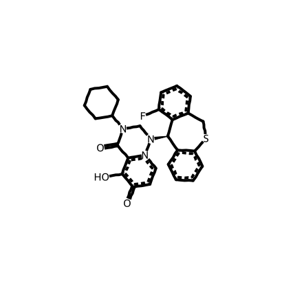 O=C1c2c(O)c(=O)ccn2N([C@@H]2c3ccccc3SCc3cccc(F)c32)CN1C1CCCCC1